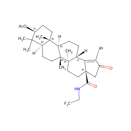 CC(=O)O[C@H]1CC[C@]2(C)[C@H]3CC[C@@H]4C5=C(C(C)C)C(=O)C[C@]5(C(=O)NCC(F)(F)F)CC[C@@]4(C)[C@]3(C)CC[C@H]2C1(C)C